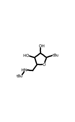 CC(C)(C)NCC1OC(C(C)(C)C)C(O)C1O